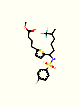 COC(=O)CCCc1ccc(C(CCCC(C)C(F)(F)F)NS(=O)(=O)c2ccc(F)cc2)s1